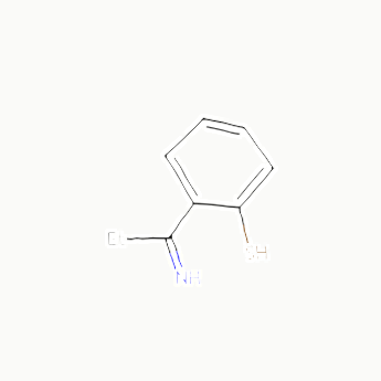 CCC(=N)c1ccccc1S